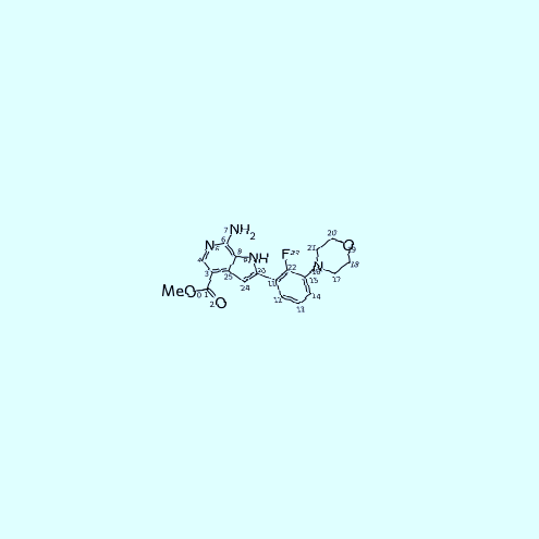 COC(=O)c1cnc(N)c2[nH]c(-c3cccc(N4CCOCC4)c3F)cc12